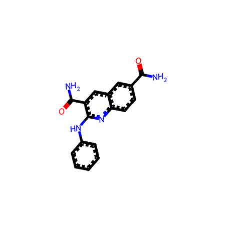 NC(=O)c1ccc2nc(Nc3ccccc3)c(C(N)=O)cc2c1